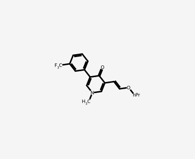 CCCOC=Cc1cn(C)cc(-c2cccc(C(F)(F)F)c2)c1=O